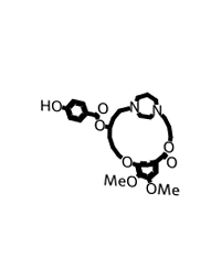 COc1cc2cc(c1OC)OCCCC(OC(=O)c1ccc(O)cc1)CCN1CCCN(CCCOC2=O)CC1